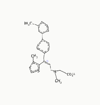 Cc1cccc(-c2ccc(/C(=C/CN(C)CC(=O)O)c3sccc3C)cc2)c1